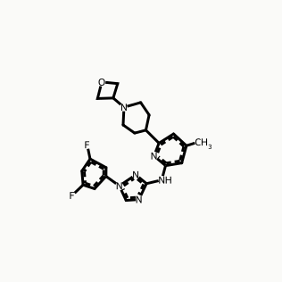 Cc1cc(Nc2ncn(-c3cc(F)cc(F)c3)n2)nc(C2CCN(C3COC3)CC2)c1